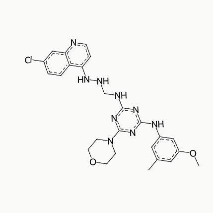 COc1cc(C)cc(Nc2nc(NCNNc3ccnc4cc(Cl)ccc34)nc(N3CCOCC3)n2)c1